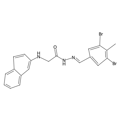 Cc1c(Br)cc(/C=N/NC(=O)CNc2ccc3ccccc3c2)cc1Br